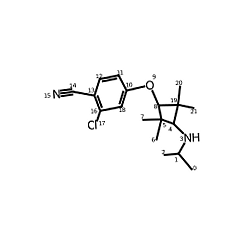 CC(C)NC1C(C)(C)C(Oc2ccc(C#N)c(Cl)c2)C1(C)C